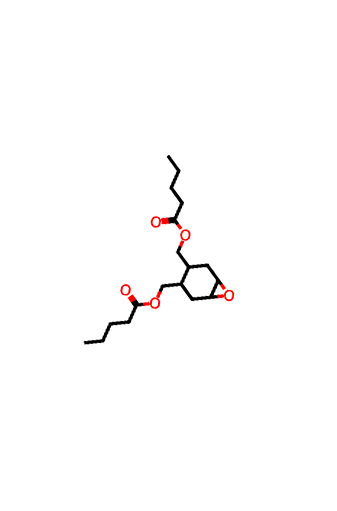 CCCCC(=O)OCC1CC2OC2CC1COC(=O)CCCC